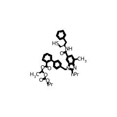 CCCc1nc2c(C)cc(C(=O)N[C@@H](CS)Cc3ccccc3)cc2n1Cc1ccc(-c2ccccc2C(=O)OC(C)OC(=O)OC(C)C)cc1